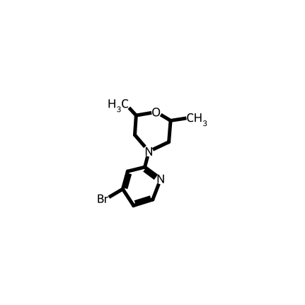 CC1CN(c2cc(Br)ccn2)CC(C)O1